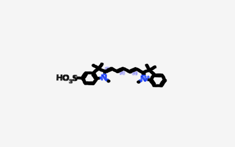 CN1\C(=C/C=C/C=C/C2=[N+](C)c3ccccc3C2(C)C)C(C)(C)c2cc(S(=O)(=O)O)ccc21